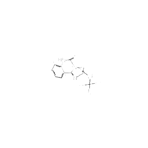 O=c1[nH]c2ccccc2c2nc(OC(F)(F)F)nn12